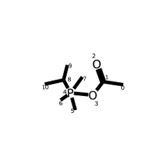 CC(=O)OP(C)(C)(C)C(C)C